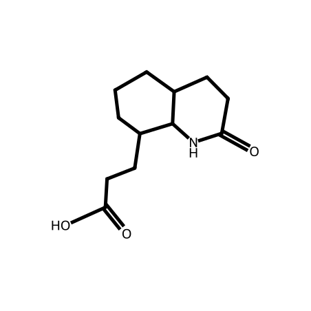 O=C(O)CCC1CCCC2CCC(=O)NC12